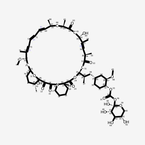 CO[C@H]1C[C@@H]2CC[C@@H](C)[C@@](O)(O2)C(=O)C(=O)N2CCCC[C@H]2C(=O)O[C@H]([C@H](C)C[C@H]2CC[C@@H](OC(=O)O[C@@]3(O)OC[C@H](O)C(O)[C@@H]3O)[C@H](OC)C2)CC(=O)[C@H](C)/C=C(\C)[C@@H](O)CC(=O)[C@H](C)C[C@H](C)/C=C/C=C/C=C/1C